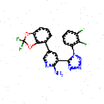 Nc1ncc(-c2cccc3c2OC(F)(F)O3)cc1-c1nnnn1-c1cccc(F)c1F